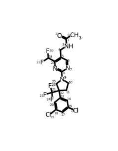 CC(=O)NCc1cnc(N2CCC(c3cc(Cl)cc(Cl)c3)(C(F)(F)F)C2)nc1C(F)F